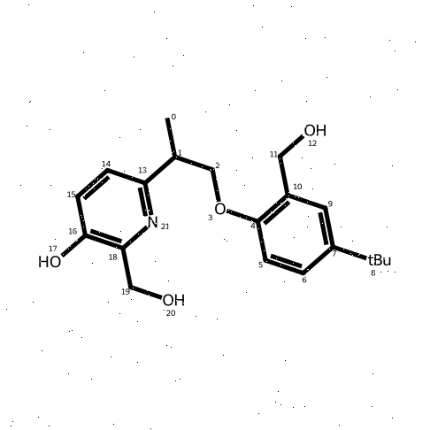 CC(COc1ccc(C(C)(C)C)cc1CO)c1ccc(O)c(CO)n1